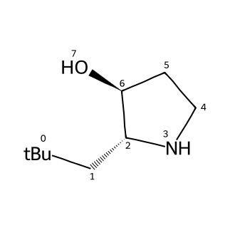 CC(C)(C)C[C@H]1NCC[C@@H]1O